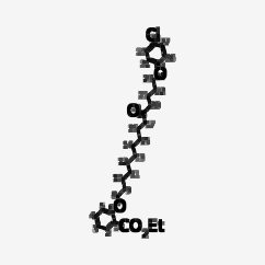 CCOC(=O)c1ccccc1OCCCCCCCCCCC(=O)CCCCOc1ccc(Cl)cc1